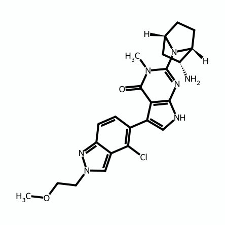 COCCn1cc2c(Cl)c(-c3c[nH]c4nc(N5[C@H]6CC[C@@H]5[C@H](N)C6)n(C)c(=O)c34)ccc2n1